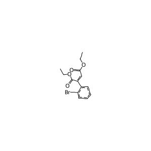 CCOC(=O)C=C(C(=O)OCC)c1ccccc1Br